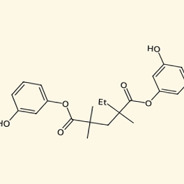 CCC(C)(CC(C)(C)C(=O)Oc1cccc(O)c1)C(=O)Oc1cccc(O)c1